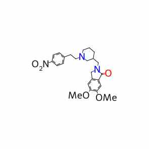 COc1cc2c(cc1OC)C(=O)N(CC1CCCN(CCc3ccc([N+](=O)[O-])cc3)C1)C2